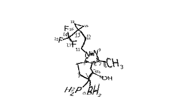 BC1(P)CCc2c(c(C)nn2CCC2(C(F)(F)F)CC2)C1O